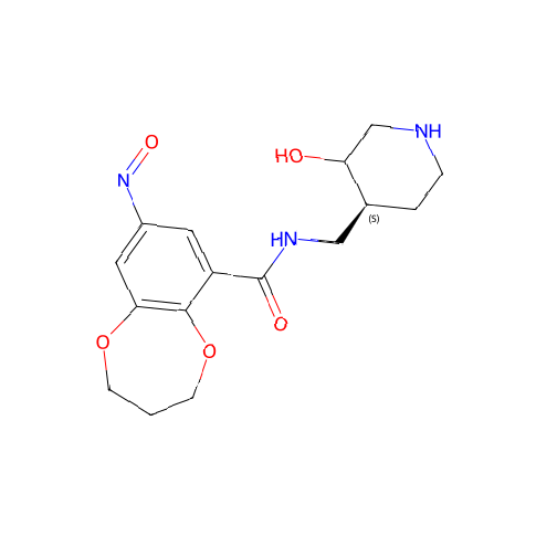 O=Nc1cc2c(c(C(=O)NC[C@@H]3CCNCC3O)c1)OCCCO2